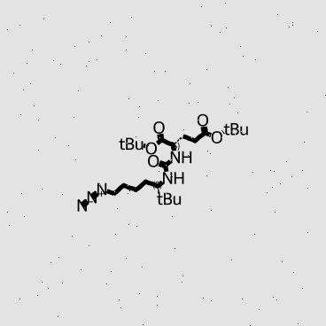 CC(C)(C)OC(=O)CC[C@H](NC(=O)N[C@@H](CCCCN=[N+]=[N-])C(C)(C)C)C(=O)OC(C)(C)C